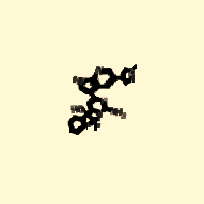 Cn1cc(-c2cnc3[nH]cc(-c4cc(C(O)(c5ccccc5)C(F)(F)F)nc(N)n4)c3c2)cn1